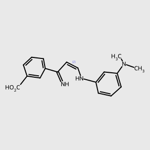 CN(C)c1cccc(N/C=C\C(=N)c2cccc(C(=O)O)c2)c1